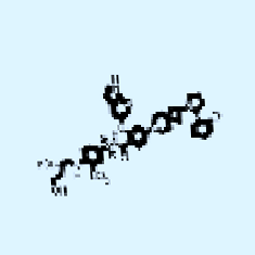 CCCC[C@H](CCO)CNc1ccc(S(=O)(=O)NC(=O)c2ccc(N3CCC4(CC3)CC(N3CCC[C@H]3c3ccccc3CC)C4)cc2Oc2cnc3[nH]ccc3c2)cc1[N+](=O)[O-]